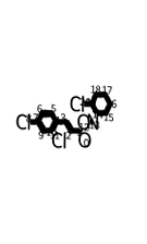 O=C(C=Cc1ccc(Cl)cc1Cl)ON=C1CCCCC1Cl